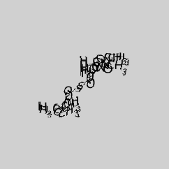 CCC(C)(CC(O)COC(=O)CCSSCCC(=O)OCC(O)CN1C(=O)N(C(C)(CC)CC)C(=O)C1(C)C)C(C)C